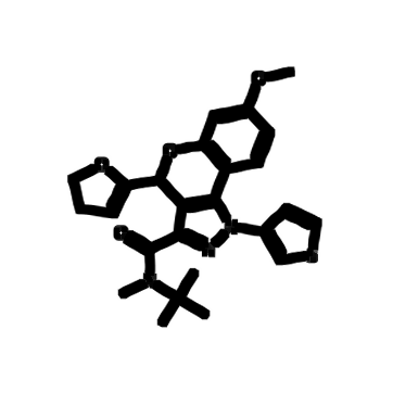 COc1ccc2c(c1)OC(C1=CCCO1)c1c(C(=O)N(C)C(C)(C)C)nn(-c3ccsc3)c1-2